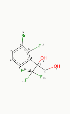 OCC(O)(c1cccc(Br)c1F)C(F)(F)F